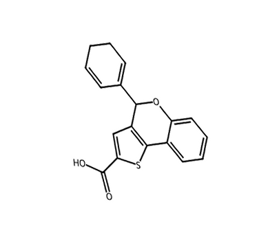 O=C(O)c1cc2c(s1)-c1ccccc1OC2C1=CCCC=C1